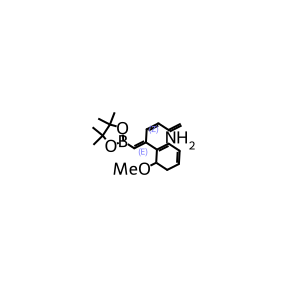 C=C(N)/C=C\C(=C/B1OC(C)(C)C(C)(C)O1)C1=CC=CCC1OC